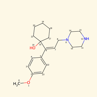 COc1ccc(C(=CCN2CCNCC2)C2(O)CCCCC2)cc1